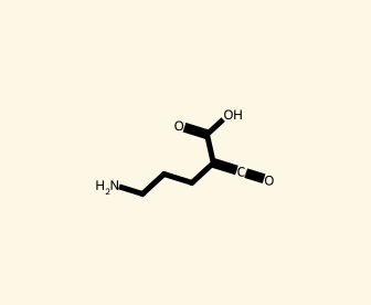 NCCCC(=C=O)C(=O)O